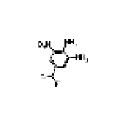 Nc1cc(C(F)F)cc([N+](=O)[O-])c1N